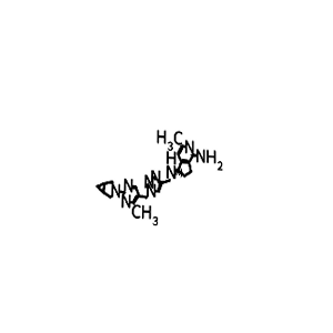 Cc1cc2c(c(N)n1)CC[C@H]2NCc1cn(Cc2cnc(N3CC4CC4C3)nc2C)nn1